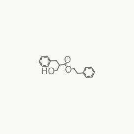 O=C(OCCc1ccccc1)C(CO)Cc1ccccc1